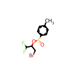 Cc1ccc(S(=O)OC(CBr)C(F)F)cc1